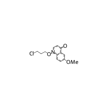 COc1ccc2c(c1)c(=O)ccn2OCCCCl